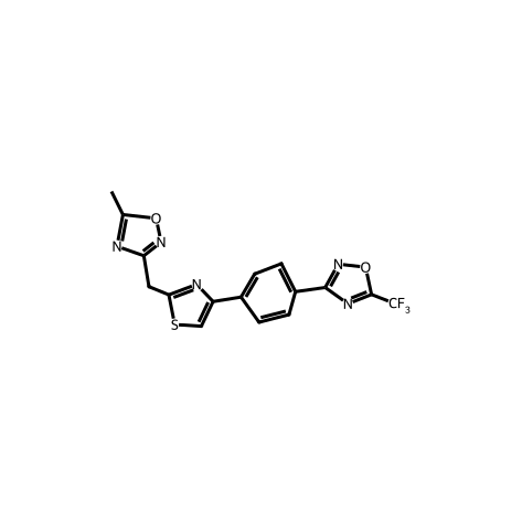 Cc1nc(Cc2nc(-c3ccc(-c4noc(C(F)(F)F)n4)cc3)cs2)no1